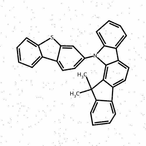 CC1(C)c2ccccc2-c2ccc3c4ccccc4n(-c4ccc5c(c4)sc4ccccc45)c3c21